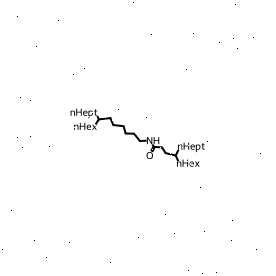 CCCCCCCC(CCCCCC)CCCCCCNC(=O)CCC(CCCCCC)CCCCCCC